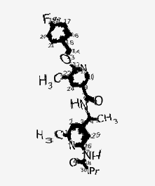 Cc1cc(C(C)NC(=O)c2cnc(OCc3ccc(F)cc3)c(C)c2)cc(NC(=O)C(C)C)n1